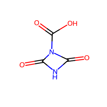 O=C(O)N1C(=O)NC1=O